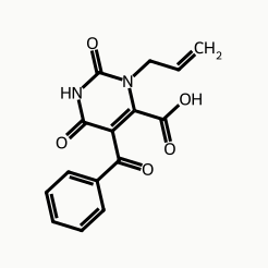 C=CCn1c(C(=O)O)c(C(=O)c2ccccc2)c(=O)[nH]c1=O